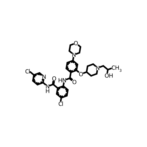 CC(O)CN1CCC(Oc2cc(N3CCOCC3)ccc2C(=O)Nc2ccc(Cl)cc2C(=O)Nc2ccc(Cl)cn2)CC1